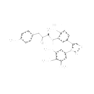 COc1ccc(CC(N)C(=O)Nc2cc(-c3cnnn3-c3cc(OC)c(OC)c(OC)c3)ccc2OC)cc1.Cl